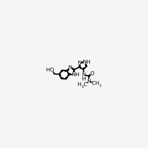 CN(C)C(=O)Nc1c[nH]nc1-c1nc2cc(CO)ccc2[nH]1